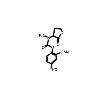 COc1cc(C=O)ccc1OC(=O)N(C1CCOC1=O)C(F)(F)F